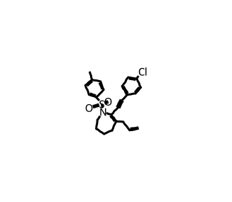 C=CCC1=C(C#Cc2ccc(Cl)cc2)N(S(=O)(=O)c2ccc(C)cc2)CCCC1